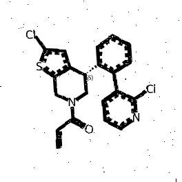 C=CC(=O)N1Cc2sc(Cl)cc2[C@H](c2ccccc2-c2cccnc2Cl)C1